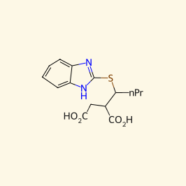 CCCC(Sc1nc2ccccc2[nH]1)C(CC(=O)O)C(=O)O